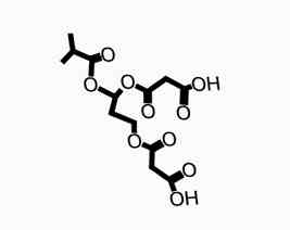 CC(C)C(=O)OC(CCOC(=O)CC(=O)O)OC(=O)CC(=O)O